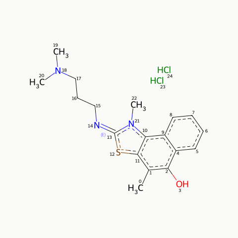 Cc1c(O)c2ccccc2c2c1s/c(=N/CCCN(C)C)n2C.Cl.Cl